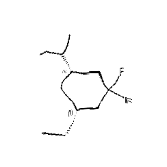 CC[C@@H]1C[C@H](C(C)C)CC(F)(F)C1